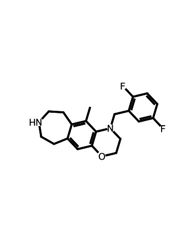 Cc1c2c(cc3c1N(Cc1cc(F)ccc1F)CCO3)CCNCC2